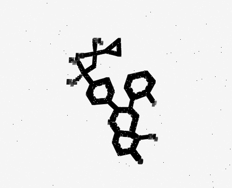 Cn1c(=O)ccc2nc(-c3ccc([C@@](C)(N)C[C@](C)(O)C4CC4)cc3)c(-c3ccccc3F)cc21